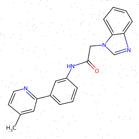 Cc1ccnc(-c2cccc(NC(=O)Cn3cnc4ccccc43)c2)c1